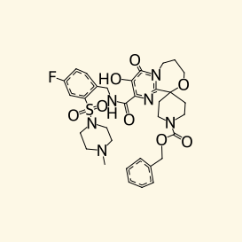 CN1CCN(S(=O)(=O)c2cc(F)ccc2CNC(=O)c2nc3n(c(=O)c2O)CCCOC32CCN(C(=O)OCc3ccccc3)CC2)CC1